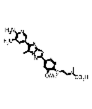 COc1cc(-c2nn3c(C)c(-c4cnc(N)c(C(F)(F)F)c4)nc3s2)ccc1OCCNC(=O)O